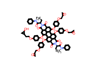 CN(C(=O)C(CC(F)(F)F)N1C(=O)c2cc(Oc3ccc(OCCC4CC4O)cc3)c3c4c(Oc5ccc(OCC6CO6)cc5)cc5c6c(cc(Oc7ccc(OCC8CO8)cc7)c(c7c(Oc8ccc(OCC9CO9)cc8)cc(c2c37)C1=O)c64)C(=O)N(C(CC(F)(F)F)C(=O)N(C)c1ccccc1)C5=O)c1ccccc1